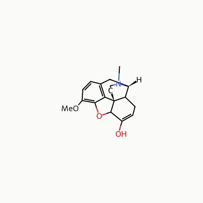 COc1ccc2c3c1OC1C(O)=CCC4[C@@H](C2)N(C)CC[C@]314